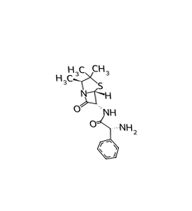 C[C@@H]1N2C(=O)[C@@H](NC(=O)[C@H](N)c3ccccc3)[C@H]2SC1(C)C